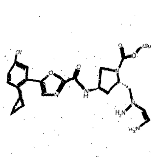 CC(C)(C)OC(=O)N1C[C@H](NC(=O)c2ncc(-c3cc(C#N)ccc3C3CC3)o2)C[C@H]1CN(N)/C=C\N